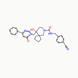 N#Cc1ccc(CNC(=O)N2CCC(O)(Cn3cnc(-c4ccccc4)cc3=O)C3(CCCC3)C2)cc1